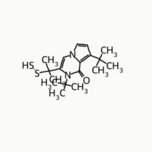 CC(C)(C)c1ccn2cc(C(C)(C)SS)n(C(C)(C)C)c(=O)c12